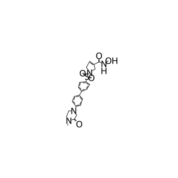 CN1CCN(c2ccc(-c3ccc(S(=O)(=O)N4CC=C(C(=O)NO)C4)cc3)cc2)CC1=O